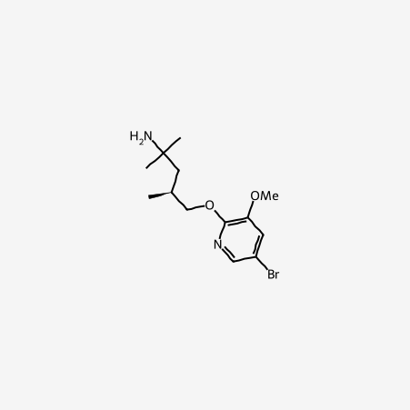 COc1cc(Br)cnc1OC[C@@H](C)CC(C)(C)N